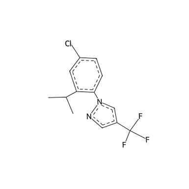 CC(C)c1cc(Cl)ccc1-n1cc(C(F)(F)F)cn1